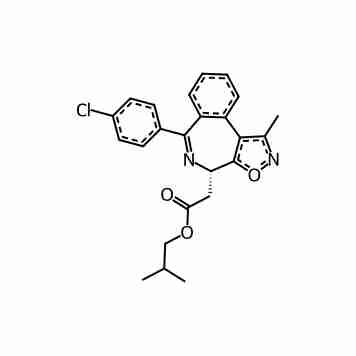 Cc1noc2c1-c1ccccc1C(c1ccc(Cl)cc1)=N[C@H]2CC(=O)OCC(C)C